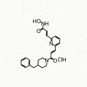 Cl.O=C(/C=C/c1cccc(/C=C/C(=O)N2CCC(Cc3ccccc3)CC2)n1)NO